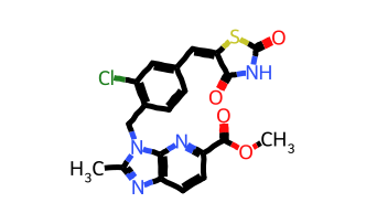 COC(=O)c1ccc2nc(C)n(Cc3ccc(C=C4SC(=O)NC4=O)cc3Cl)c2n1